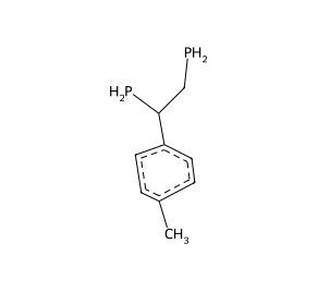 Cc1ccc(C(P)CP)cc1